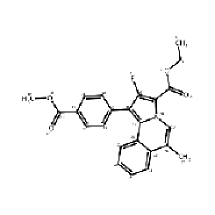 CCOC(=O)c1c(F)c(-c2ccc(C(=O)OC)cc2)c2c3ccccc3c(C)cn12